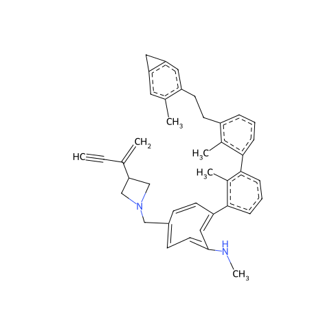 C#CC(=C)C1CN(CC2=C/C=C(NC)/C=C(c3cccc(-c4cccc(CCc5cc6c(cc5C)C6)c4C)c3C)/C=C\2)C1